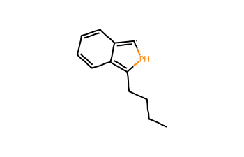 CCCCc1[pH][c]c2ccccc12